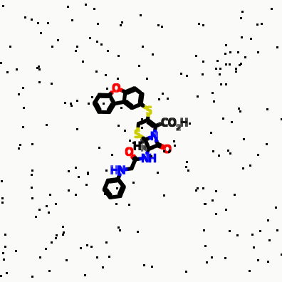 O=C(CNc1ccccc1)N[C@@H]1C(=O)N2C(C(=O)O)=C(Sc3ccc4oc5ccccc5c4c3)CS[C@H]12